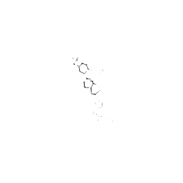 CCN(C(=O)OC(C)(C)C)C1CCN(c2cnc3nc(-c4cc5cn(C)nc5c(C)c4OC)ccc3c2)C1